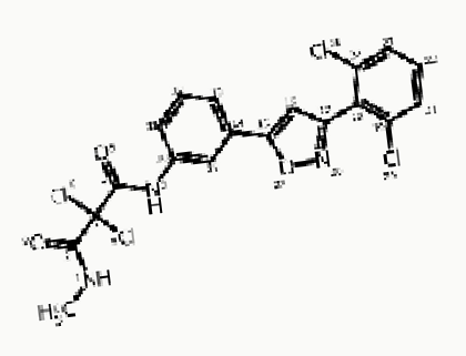 CNC(=O)C(Cl)(Cl)C(=O)Nc1cccc(-c2cc(-c3c(Cl)cccc3Cl)no2)c1